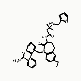 CSc1ccc2c(c1)CCC(NC(=O)CC(C)(C)NCc1ccco1)C(=O)N2Cc1ccccc1-c1ccccc1C(N)=O